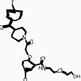 O=C(NCCOCCO)c1cc(Cl)ccc1OCC(=O)N1CCC(C(=O)c2ccc(F)cc2)CC1